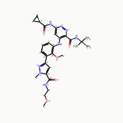 BC(B)(B)NC(=O)c1nnc(NC(=O)C2CC2)cc1Nc1cccc(-c2cc(C(=O)NCCOC)n(C)n2)c1OC